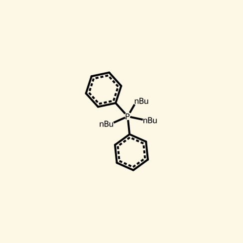 CCCCP(CCCC)(CCCC)(c1ccccc1)c1ccccc1